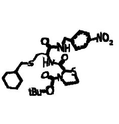 CC(C)(C)OC(=O)N1CCSC1C(=O)N[C@@H](CSCC1CCCCC1)C(=O)NCc1ccc([N+](=O)[O-])cc1